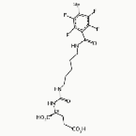 O=C(O)CC[C@H](NC(=O)NCCCCCNC(=O)c1c(F)c(F)c([18F])c(F)c1F)C(=O)O